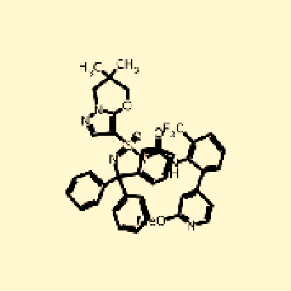 COc1cc(-c2cccc(C(F)(F)F)c2NC(=O)NS(=O)(=NC(c2ccccc2)(c2ccccc2)c2ccccc2)c2cnn3c2OCC(C)(C)C3)ccn1